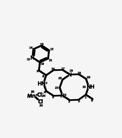 CC1CCN2CCNC(Cc3ccccn3)CCN(CCN1)CC2.[Cl-].[Cl][Mn+]